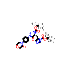 CC(C)(C)OC(=O)N[C@H](Cc1cncn1C(=O)OC(C)(C)C)C(=O)Nc1ccc(N2CCOCC2=O)cc1